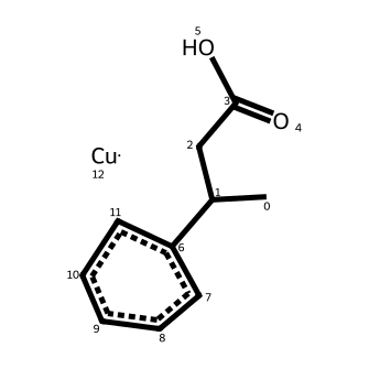 CC(CC(=O)O)c1ccccc1.[Cu]